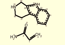 C=CC(N)=O.c1ccc2c3c([nH]c2c1)CNCC3